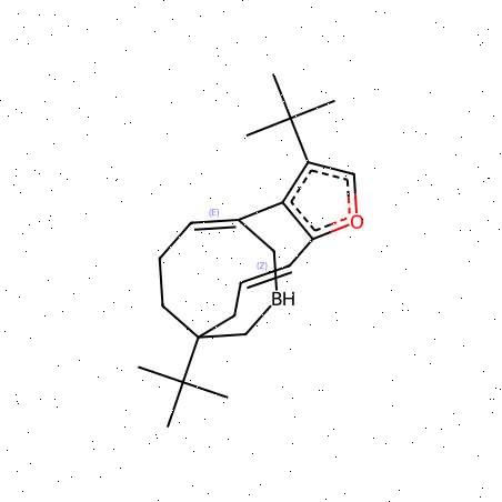 CC(C)(C)c1coc2c1/C1=C/CCC(C(C)(C)C)(CBC1)C/C=C\2